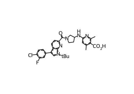 Cc1cc(NC2CCN(C(=O)c3ccc4c(-c5ccc(Cl)c(F)c5)cn(C(C)(C)C)c4n3)C2)nc(C)c1C(=O)O